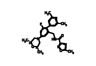 Cc1cc(-c2c(F)cc(N3C[C@@H](C)O[C@@H](C)C3)cc2CNC(=O)c2cc(C)on2)cc(C)n1